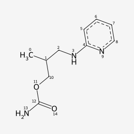 CC(CNc1ccccn1)COC(N)=O